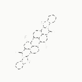 O=c1c2cc(F)c3c4ccc5c6c(cc(F)c(c7ccc(c2c73)c2nc3ccccc3n12)c46)c(=O)n1c2ccccc2nc51